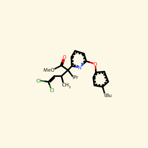 COC(=O)C(c1cccc(Oc2ccc(C(C)(C)C)cc2)n1)(C(C)C)C(C)C=C(Cl)Cl